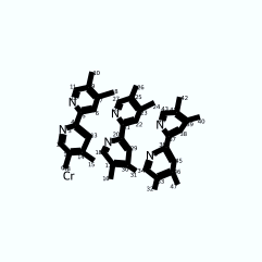 Cc1cnc(-c2cc(C)c(C)cn2)cc1C.Cc1cnc(-c2cc(C)c(C)cn2)cc1C.Cc1cnc(-c2cc(C)c(C)cn2)cc1C.[Cr]